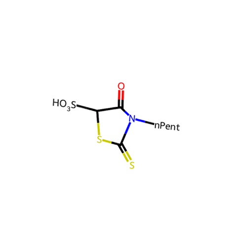 CCCCCN1C(=O)C(S(=O)(=O)O)SC1=S